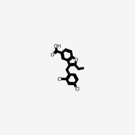 CCc1oc2ccc(C(=O)O)cc2c1Cc1ccc(Cl)cc1Cl